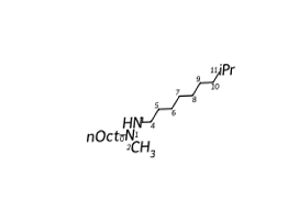 CCCCCCCCN(C)NCCCCCCCC(C)C